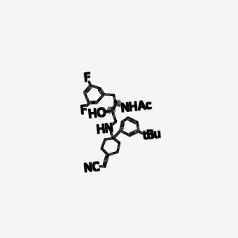 CC(=O)N[C@@H](Cc1cc(F)cc(F)c1)[C@H](O)CNC1(c2cccc(C(C)(C)C)c2)CCC(=CC#N)CC1